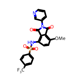 COc1ccc(NS(=O)(=O)c2ccc(C(F)(F)F)cc2)c2c1C(=O)N(c1cccnc1)C2=O